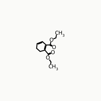 CCOC(=O)C1=C(C(=O)OCC)CCC=C1